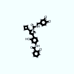 O=C(Nc1ccc(-c2cc(C3CCC3)n(C(=O)NCc3ccc(Cl)c(Cl)c3)n2)c(O)c1)c1ccccc1Cl